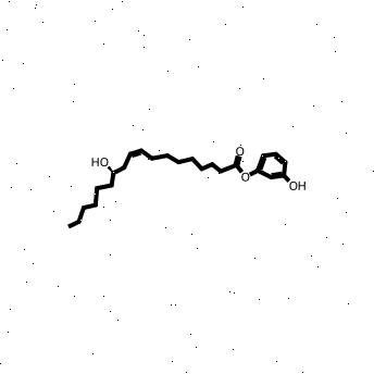 CCCCCC[C@@H](O)C/C=C\CCCCCCCC(=O)Oc1cccc(O)c1